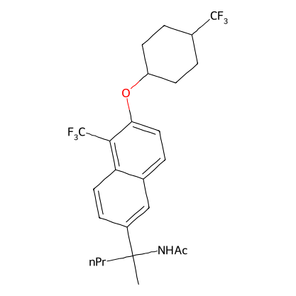 CCCC(C)(NC(C)=O)c1ccc2c(C(F)(F)F)c(OC3CCC(C(F)(F)F)CC3)ccc2c1